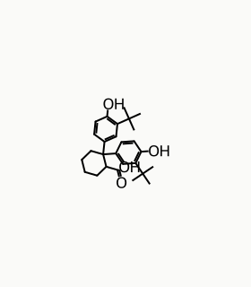 CC(C)(C)c1cc(C2(c3ccc(O)c(C(C)(C)C)c3)CCCCC2C(=O)O)ccc1O